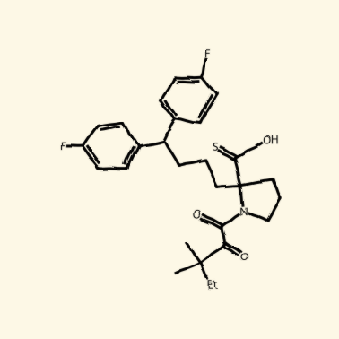 CCC(C)(C)C(=O)C(=O)N1CCCC1(CCCC(c1ccc(F)cc1)c1ccc(F)cc1)C(O)=S